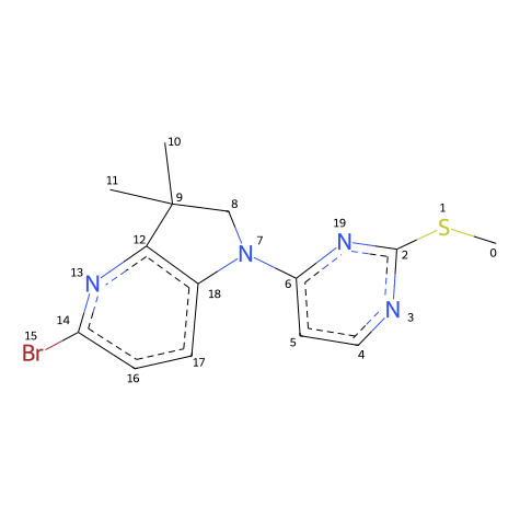 CSc1nccc(N2CC(C)(C)c3nc(Br)ccc32)n1